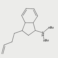 C=CCCC1CC([SiH](CCCC)CCCC)C2C=CC=CC12